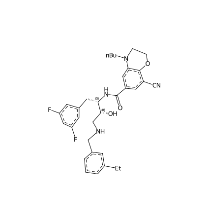 CCCCN1CCOc2c(C#N)cc(C(=O)N[C@@H](Cc3cc(F)cc(F)c3)[C@H](O)CNCc3cccc(CC)c3)cc21